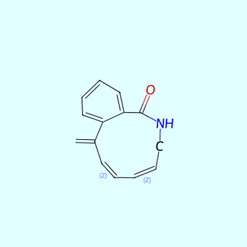 C=C1/C=C\C=C/CNC(=O)c2ccccc21